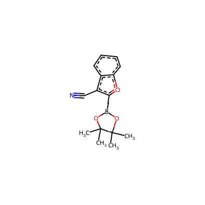 CC1(C)OB(c2oc3ccccc3c2C#N)OC1(C)C